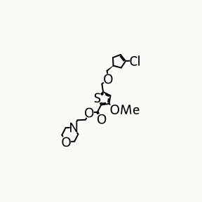 COc1cc(COC[C@H]2CC=C(Cl)C2)sc1C(=O)OCCN1CCOCC1